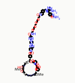 CO[C@H]1CC2CCC[C@@](O)(O2)C(=O)C(=O)N2CCCC[C@H]2C(=O)O[C@H](CC[C@H]2CC[C@H](OC(=O)N3CCc4nc(N5CCN(c6ncc(C(=O)NCCOCCOCCOCCOCCC(=O)N7CCc8cc(Cn9nc(-c%10ccc%11oc(N)nc%11c%10)c%10c(N)ncnc%109)ccc8C7)cn6)CC5)ncc4C3)CC2)CC[C@H](C)/C=C(\C)[C@@H](O)[C@@H](OC)C(=O)[C@H](C)C[C@H](C)/C=C/C=C/C=C/1C